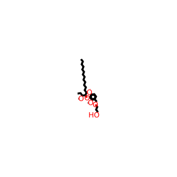 CCCCCCCCCCCCCC(OC)C(Oc1cccc(COCCCO)c1OC)C(CC)OC